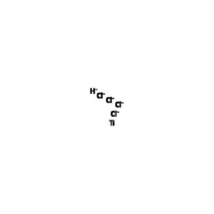 [Cl-].[Cl-].[Cl-].[Cl-].[H-].[Ti]